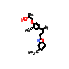 CCC(CCc1nc2cc(C(=O)O)ccc2o1)c1ccc(OCC(O)C(C)(C)C)c(C)c1